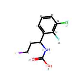 O=C(O)NC(CCI)c1cccc(Cl)c1F